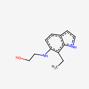 CCc1c(NCCO)ccc2cc[nH]c12